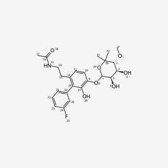 CO[C@@H]1[C@@H](O)[C@@H](O)C(Oc2ccc(CCNC(C)=O)c(-c3cccc(F)c3)c2O)OC1(C)C